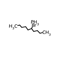 CCCCCC(Br)CCCC.P